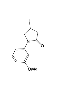 COc1cccc(N2CC(I)CC2=O)c1